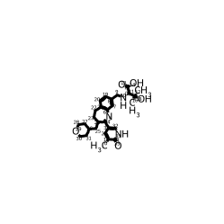 Cc1cc(C2=Nc3cc(CN[C@H](C(=O)O)C(C)(C)O)ccc3CCC2CC2CCOCC2)c[nH]c1=O